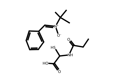 CC(C)(C)[N+]([O-])=Cc1ccccc1.CCC(=O)NC(S)C(=O)O